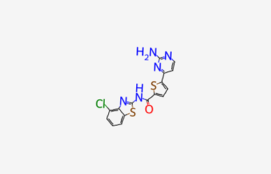 Nc1nccc(-c2ccc(C(=O)Nc3nc4c(Cl)cccc4s3)s2)n1